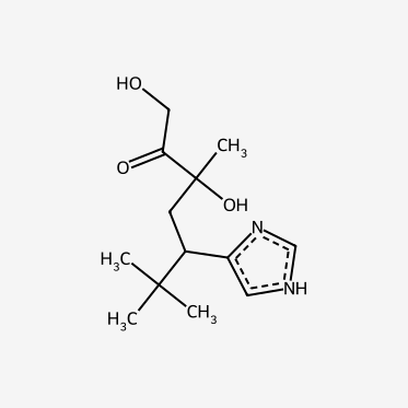 CC(O)(CC(c1c[nH]cn1)C(C)(C)C)C(=O)CO